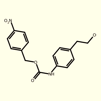 [O]CCc1ccc(NC(=O)OCc2ccc([N+](=O)[O-])cc2)cc1